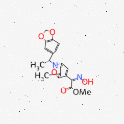 COC(=O)C(=NO)c1cc2cc(C)c1ON2C(C)c1ccc2c(c1)OCO2